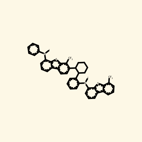 FC(F)(F)c1cccc2c1sc1c(N(I)c3ccccc3C3CCCCC3c3ccc4c(sc5c(N(I)c6ccccc6)cccc54)c3C(F)(F)F)cccc12